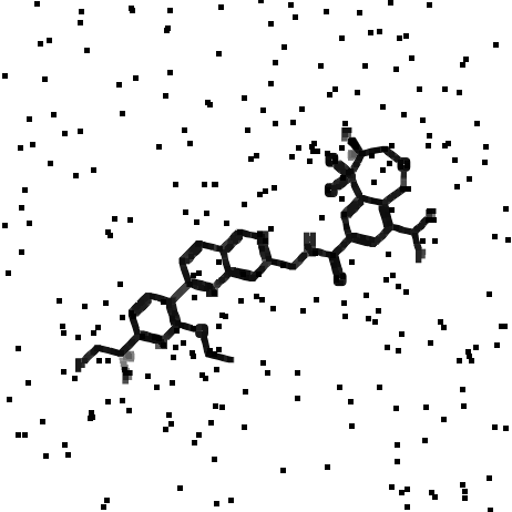 CCOc1nc([C@H](F)CF)ccc1-c1ccc2cnc(CNC(=O)c3cc(C(F)F)c4c(c3)S(=O)(=O)[C@@H](F)COC4)cc2n1